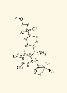 COCCS(=O)(=O)N1CCC([C@@H](N)c2cc(Cl)c(Cl)cc2OC(=O)C(F)(F)F)CC1